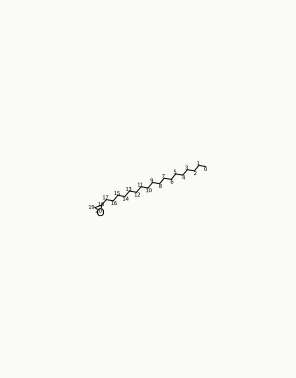 CCCCCCCCCCCCCCCCCCC1CO1